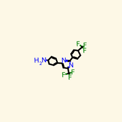 NC1C=CC(c2cc(C(F)(F)F)nc(C3=CCC(C(F)(F)F)C=C3)n2)=CC1